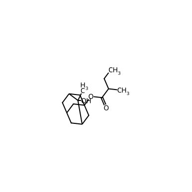 CCC(C)C(=O)OC12CC3CC(C1)C(C)(O)C(C3)C2